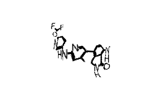 CNc1ccc(-c2cnc(Nc3ccc(OC(F)F)nc3)cc2C)c2c1C(=O)NC2